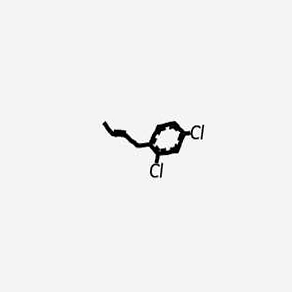 CC=CCc1ccc(Cl)cc1Cl